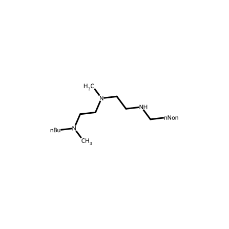 CCCCCCCCCCNCCN(C)CCN(C)CCCC